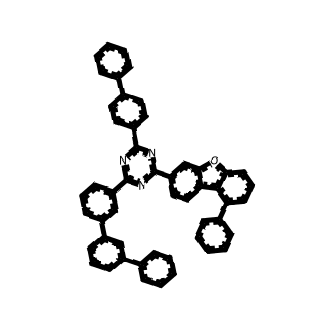 c1ccc(-c2ccc(-c3nc(-c4cccc(-c5cccc(-c6ccccc6)c5)c4)nc(-c4ccc5c(c4)oc4cccc(-c6ccccc6)c45)n3)cc2)cc1